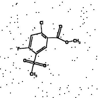 COC(=O)c1cc(S(C)(=O)=O)c(F)cc1Cl